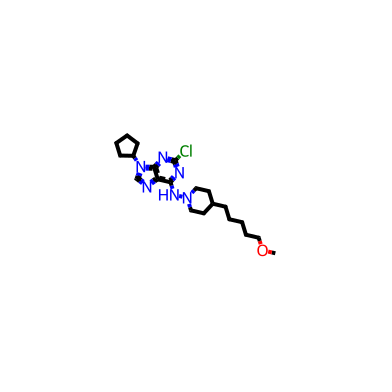 COCCCCCC1CCN(Nc2nc(Cl)nc3c2ncn3C2CCCC2)CC1